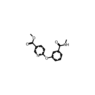 CNC(=O)c1cccc(Oc2ccc(C(=O)OC)cn2)c1